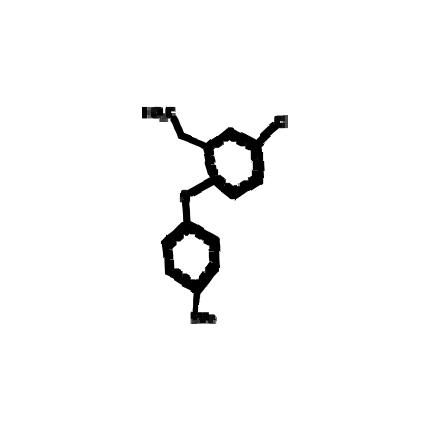 CSc1ccc(Sc2ccc(Cl)cc2CC(=O)O)cc1